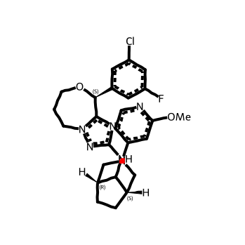 COc1cc(N2C[C@H]3CC[C@@H](C2)C3Nc2nc3n(n2)CCCO[C@H]3c2cc(F)cc(Cl)c2)ccn1